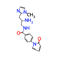 Cn1ccnc1CC(N)CNC(=O)c1ccc(-n2ccccc2=O)cc1